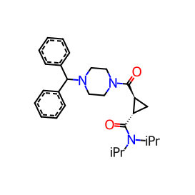 CC(C)N(C(=O)[C@H]1C[C@@H]1C(=O)N1CCN(C(c2ccccc2)c2ccccc2)CC1)C(C)C